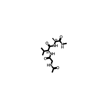 CNC(=O)[C@H](C)NC(=O)[C@@H](NC(=O)CNC(C)=O)C(C)C